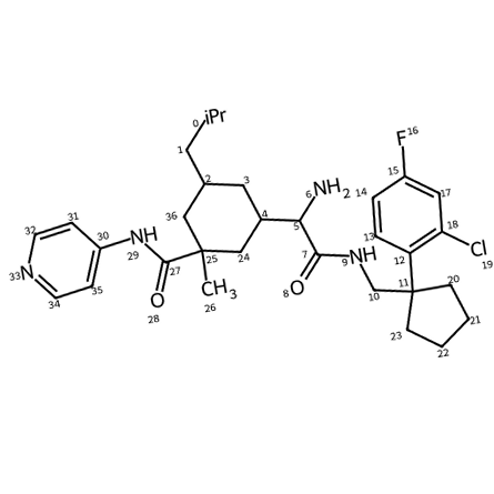 CC(C)CC1CC(C(N)C(=O)NCC2(c3ccc(F)cc3Cl)CCCC2)CC(C)(C(=O)Nc2ccncc2)C1